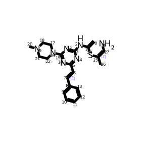 C=C(Nc1nc(/C=C/c2ccccc2)nc(N2CCN(C)CC2)n1)S/C(C)=C\N